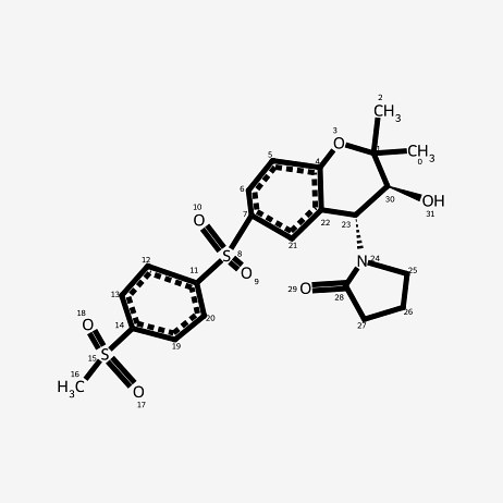 CC1(C)Oc2ccc(S(=O)(=O)c3ccc(S(C)(=O)=O)cc3)cc2[C@@H](N2CCCC2=O)[C@@H]1O